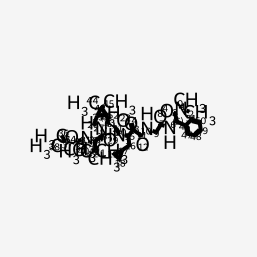 CN(C)C(=O)[C@@H](NC(=O)CNC(=O)C(=O)C(CC1CC1)NC(=O)[C@@H]1[C@@H]2C(CN1C(=O)[C@@H](NC(=O)OC(C)(C)C)C(C)(C)C)C2(C)C)c1ccccc1